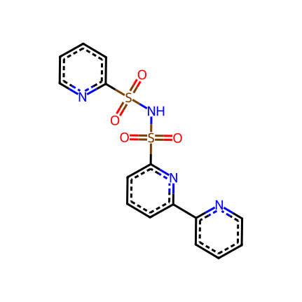 O=S(=O)(NS(=O)(=O)c1cccc(-c2ccccn2)n1)c1ccccn1